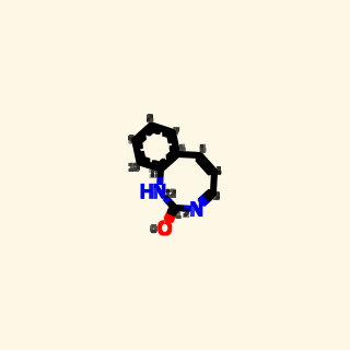 O=C1N=CC=Cc2ccccc2N1